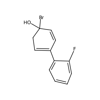 OC1(Br)C=CC(c2ccccc2F)=CC1